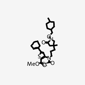 CCC(=O)N(CCCC1(C)CC(=O)N(OCC2CCC(C)CC2)C1)c1cc(C2=CCCCC2)sc1C(=O)OC